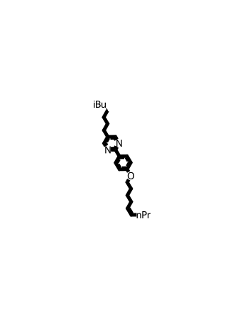 CCC/C=C\CCCCOc1ccc(-c2ncc(CCCC[C@@H](C)CC)cn2)cc1